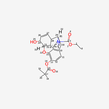 CCOC(=O)N1CC[C@]23c4c5ccc(OC(=O)C(C)(C)C)c4O[C@H]2C(O)C=CC3[C@H]1C5